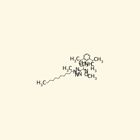 CCCCCCCCCCC(C)n1nnc(C(=NOC)C(=O)Nc2c(C(C)C)cccc2C(C)C)n1